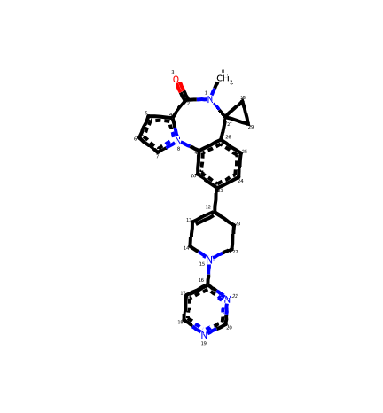 CN1C(=O)c2cccn2-c2cc(C3=CCN(c4ccncn4)CC3)ccc2C12CC2